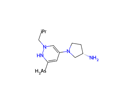 CC(C)CN1C=C(N2CC[C@H](N)C2)C=C([AsH2])N1